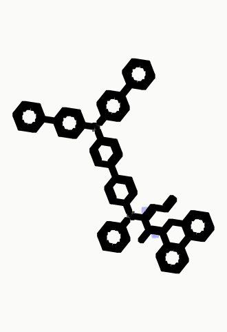 C=C/C=C(\C(C)=C1/Cc2ccccc2-c2ccccc21)N(c1ccccc1)C1C=C=C(C2=C=C=C(N(c3ccc(-c4ccccc4)cc3)c3ccc(-c4ccccc4)cc3)C=C2)C=C1